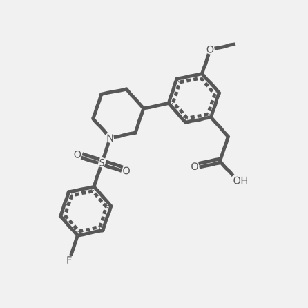 COc1cc(CC(=O)O)cc(C2CCCN(S(=O)(=O)c3ccc(F)cc3)C2)c1